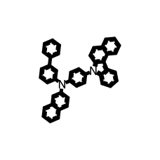 c1ccc(-c2cccc(N(c3ccc(-n4c5ccccc5c5c6ccccc6ccc54)cc3)c3ccc4ccccc4c3)c2)cc1